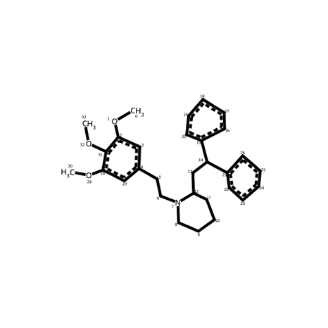 COc1cc(CCN2CCCCC2CC(c2ccccc2)c2ccccc2)cc(OC)c1OC